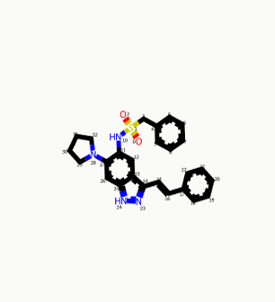 O=S(=O)(Cc1ccccc1)Nc1cc2c(C=Cc3ccccc3)n[nH]c2cc1N1CCCC1